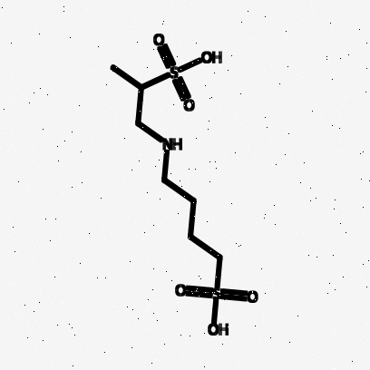 CC(CNCCCCS(=O)(=O)O)S(=O)(=O)O